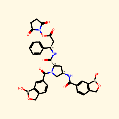 O=C(C[C@@H](NC(=O)[C@@H]1C[C@@H](NC(=O)c2ccc3c(c2)B(O)OC3)CN1C(=O)c1ccc2c(c1)B(O)OC2)c1ccccc1)ON1C(=O)CCC1=O